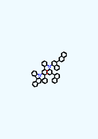 c1ccc(-c2ccc(-c3ccccc3N(c3cccc(-c4cccc5ccccc45)c3)c3ccc(-c4ccc5ccccc5c4)c4ccccc34)cc2-n2c3ccccc3c3c4ccccc4ccc32)cc1